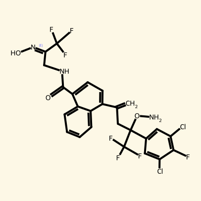 C=C(CC(ON)(c1cc(Cl)c(F)c(Cl)c1)C(F)(F)F)c1ccc(C(=O)NC/C(=N\O)C(F)(F)F)c2ccccc12